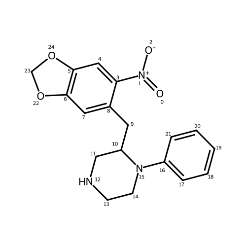 O=[N+]([O-])c1cc2c(cc1CC1CNCCN1c1ccccc1)OCO2